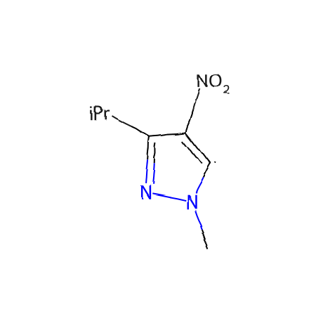 CC(C)c1nn(C)[c]c1[N+](=O)[O-]